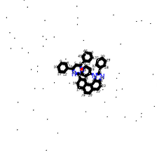 c1ccc(-c2cc(-c3ccccc3)nc(-c3ccc4ccc5ccc6nc(-c7ccccc7)n(-c7ccccc7)c6c5c4c3)n2)cc1